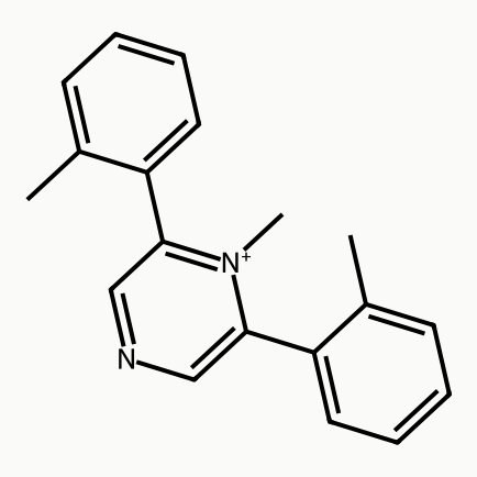 Cc1ccccc1-c1cncc(-c2ccccc2C)[n+]1C